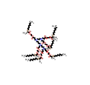 CCCCCCCCSC(C)C(=O)OCCOC(=O)CCN(CCCCN(CCCN(CCC(=O)OCCOC(=O)C(C)SCCCCCCCC)CCC(=O)OCCOC(=O)C(C)SCCCCCCCC)CCC(=O)OCCOC(=O)C(C)SCCCCCCCC)CCCN(CCC(=O)OCCOC(=O)C(C)SCCCCCCCC)CCC(=O)OCCOC(=O)C(C)SCCCCCCCC